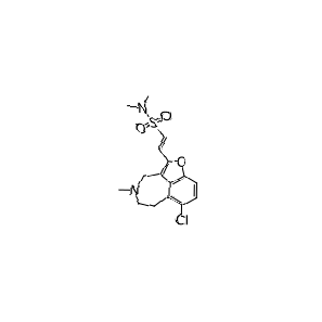 CN1CCc2c(Cl)ccc3oc(/C=C/S(=O)(=O)N(C)C)c(c23)C1